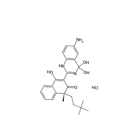 CC(C)(C)CC[C@@]1(C)C(=O)C(C2=NS(O)(O)c3cc(N)ccc3N2)=C(O)c2ccccc21.Cl